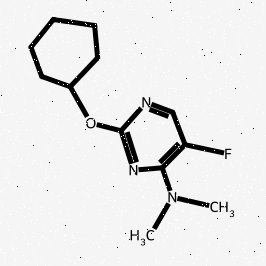 CN(C)c1nc(OC2CCCCC2)ncc1F